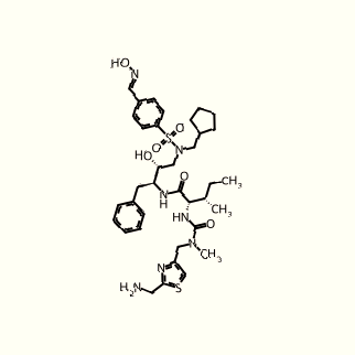 CC[C@H](C)[C@H](NC(=O)N(C)Cc1csc(CN)n1)C(=O)N[C@@H](Cc1ccccc1)[C@H](O)CN(CC1CCCC1)S(=O)(=O)c1ccc(/C=N/O)cc1